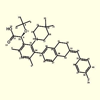 Cc1nc(C)c([C@H](OC(C)(C)C)C(=O)O)c(N2CCC(C)(C)CC2)c1-c1ccc2c(c1)CCC(=Cc1ccc(F)cc1)C2